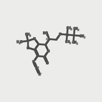 CC1(C)OC2=C(N=[N+]=[N-])C(=O)OC([C@@H](O)CO[Si](C)(C)C(C)(C)C)C2O1